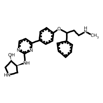 CNCCC(Oc1ccc(-c2ccnc(N[C@H]3CNC[C@@H]3O)n2)cc1)c1ccccc1